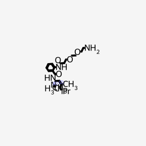 C/N=C(\C=C(\C)C(C)C(C)C)NC(=O)c1ccccc1NC(=O)CCOCCOCCN